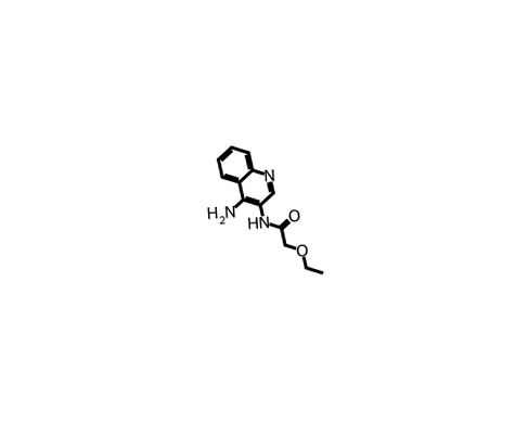 CCOCC(=O)Nc1cnc2ccccc2c1N